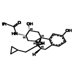 CC(C)C(=O)N[C@H]1C[C@@]2(O)[C@H]3Cc4ccc(O)cc4[C@@]2(CCN3CC2CC2)C[C@H]1O